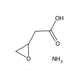 N.O=C(O)CC1CO1